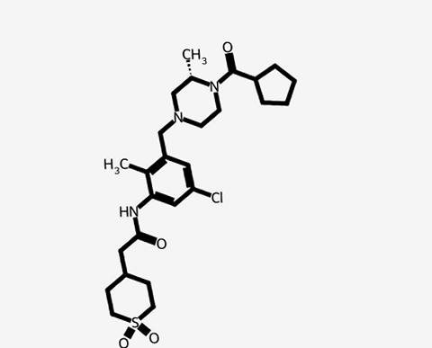 Cc1c(CN2CCN(C(=O)C3CCCC3)[C@@H](C)C2)cc(Cl)cc1NC(=O)CC1CCS(=O)(=O)CC1